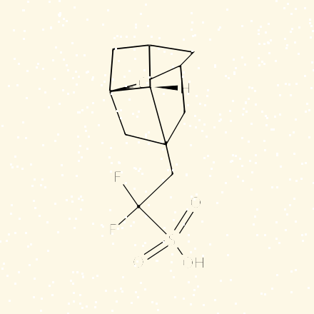 O=S(=O)(O)C(F)(F)CC12CC3CC4CC(C3)(C1)[C@H]42